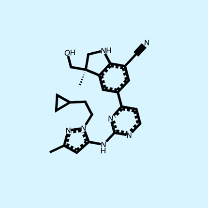 Cc1cc(Nc2nccc(-c3cc(C#N)c4c(c3)[C@@](C)(CO)CN4)n2)n(CCC2CC2)n1